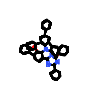 c1ccc(-c2cc(-c3ccccc3)c3c(c2)c2ccccc2n3-c2c(-c3nc(-c4ccccc4)nc(-c4ccccc4)n3)ccc3c2oc2ccccc23)cc1